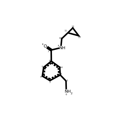 NCc1cccc(C(=O)NCC2CC2)c1